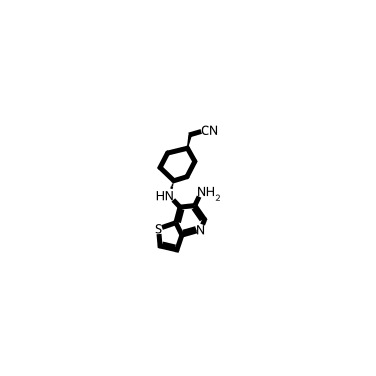 N#CC[C@H]1CC[C@H](Nc2c(N)cnc3ccsc23)CC1